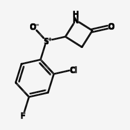 O=C1CC([S+]([O-])c2ccc(F)cc2Cl)N1